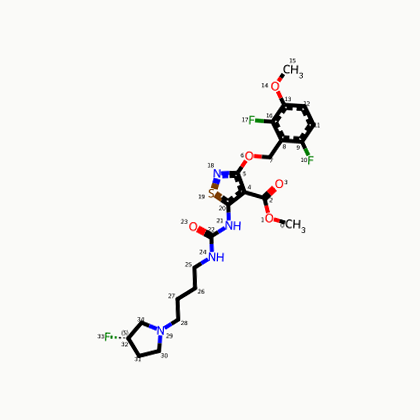 COC(=O)c1c(OCc2c(F)ccc(OC)c2F)nsc1NC(=O)NCCCCN1CC[C@H](F)C1